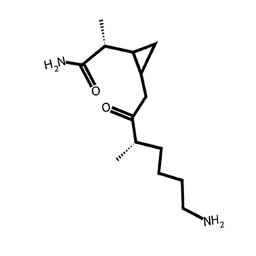 C[C@@H](CCCCN)C(=O)CC1CC1[C@@H](C)C(N)=O